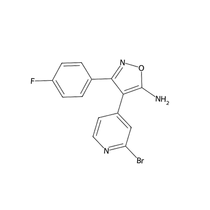 Nc1onc(-c2ccc(F)cc2)c1-c1ccnc(Br)c1